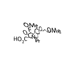 COCCCOc1cc2c(cc1OC)-c1c(F)c(=O)c(C(=O)O)cn1[C@H](C(C)C)C2